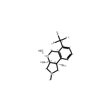 CN1C[C@@H]2c3cccc(C(F)(F)F)c3CO[C@@H]2C1.Cl